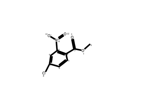 COC(=O)c1ccc(Cl)cc1[N+](=O)[O-]